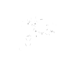 COc1ccc2c(O[C@@H]3C[C@H]4C(=O)N[C@]5(C(=O)NS(=O)(=O)C6(CF)CC6)C[C@H]5/C=C\CC[C@@H](C)C[C@@H](C)[C@H](NC(=O)O)C(=O)N4C3)nc3c(c2c1)CCCO3